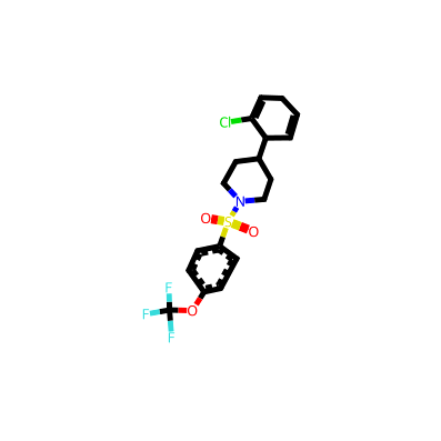 O=S(=O)(c1ccc(OC(F)(F)F)cc1)N1CCC(C2C=CCC=C2Cl)CC1